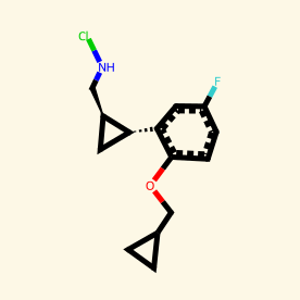 Fc1ccc(OCC2CC2)c([C@@H]2C[C@H]2CNCl)c1